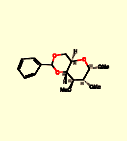 CO[C@H]1O[C@@H]2COC(c3ccccc3)O[C@H]2[C@H](OC)[C@H]1OC